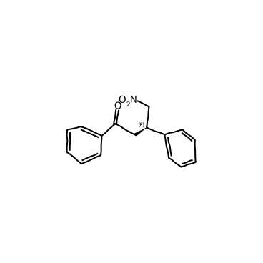 O=C(C[C@@H](C[N+](=O)[O-])c1ccccc1)c1ccccc1